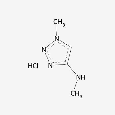 CNc1cn(C)nn1.Cl